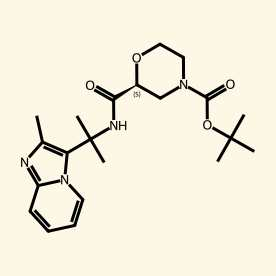 Cc1nc2ccccn2c1C(C)(C)NC(=O)[C@@H]1CN(C(=O)OC(C)(C)C)CCO1